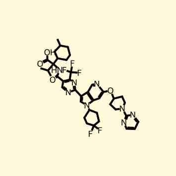 CC1CCCC(C(NC(=O)c2cnc(-c3cn(C4CCC(F)(F)CC4)c4cc(OC5CCN(c6ncccn6)CC5)ncc34)nc2C(F)(F)F)(C(=O)O)C(C)C)C1